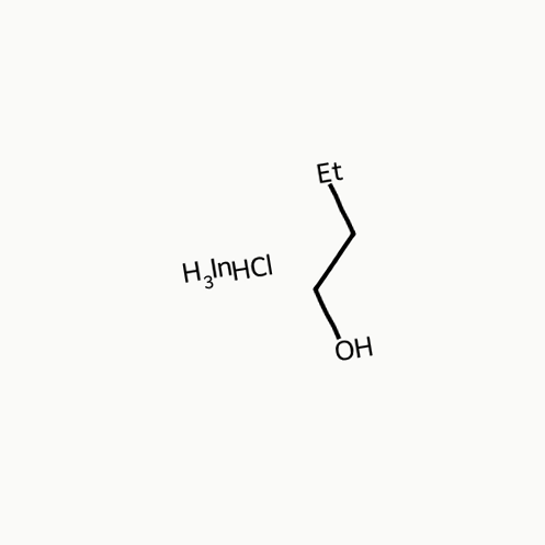 CCCCO.Cl.[InH3]